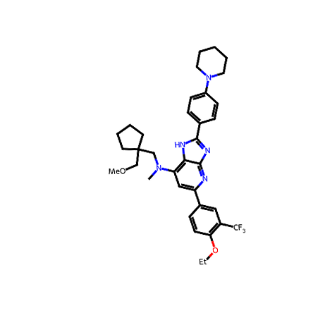 CCOc1ccc(-c2cc(N(C)CC3(COC)CCCC3)c3[nH]c(-c4ccc(N5CCCCC5)cc4)nc3n2)cc1C(F)(F)F